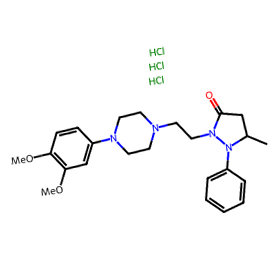 COc1ccc(N2CCN(CCN3C(=O)CC(C)N3c3ccccc3)CC2)cc1OC.Cl.Cl.Cl